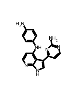 Nc1ccc(Nc2ccnc3[nH]cc(-c4ccnc(N)n4)c23)cc1